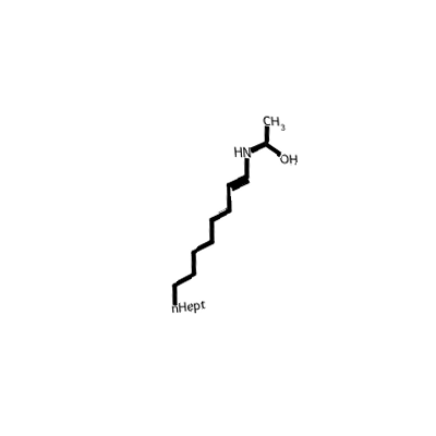 CCCCCCCCCCCCCC=CNC(C)O